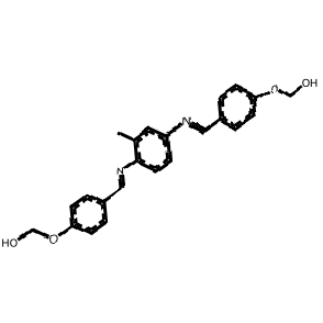 Cc1cc(N=Cc2ccc(OCO)cc2)ccc1N=Cc1ccc(OCO)cc1